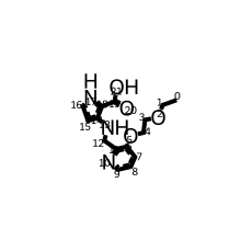 CCOCCOc1cccnc1CNc1cc[nH]c1C(=O)O